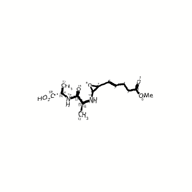 COC(=O)CCCCC1OC1N[C@@H](C)C(=O)N[C@@H](C)C(=O)O